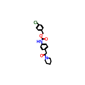 O=C(Nc1ccc(CC(=O)N2CCCCC2)cc1)OCc1ccc(Cl)cc1